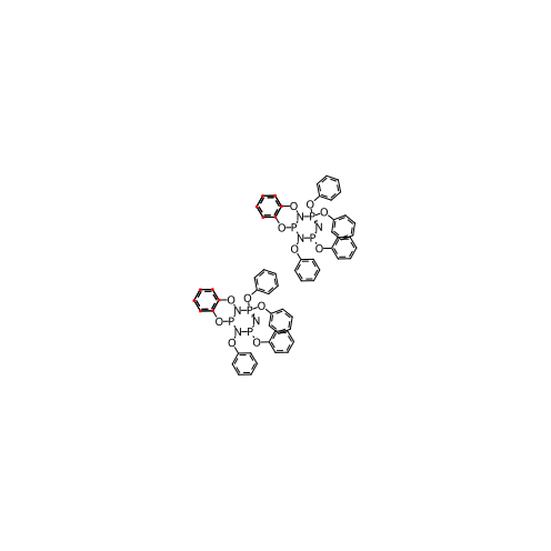 c1ccc(ON2P(Oc3ccccc3)N=P(Oc3ccccc3)(Oc3ccccc3)N(Oc3ccccc3)P2Oc2ccccc2)cc1.c1ccc(ON2P(Oc3ccccc3)N=P(Oc3ccccc3)(Oc3ccccc3)N(Oc3ccccc3)P2Oc2ccccc2)cc1